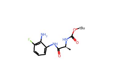 C[C@H](NC(=O)OC(C)(C)C)C(=O)Nc1cccc(F)c1N